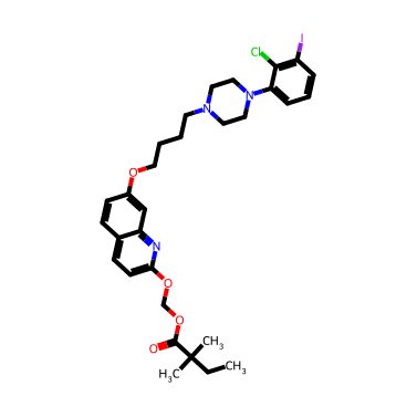 CCC(C)(C)C(=O)OCOc1ccc2ccc(OCCCCN3CCN(c4cccc(I)c4Cl)CC3)cc2n1